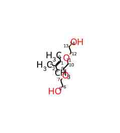 CC=C(C)C.OCCOCCOCCO